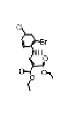 CCOC(=O)C(=CNc1ccc(Cl)cc1Br)C(=O)OCC